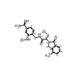 CCNc1cc(C(=N)N)ccc1CNC(=O)C(OCC)N1Cc2c(C)cccc2C1=O